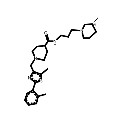 Cc1ccccc1-c1nc(CN2CCC(C(=O)NCCCN3CCC[C@@H](C)C3)CC2)c(C)s1